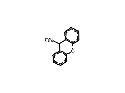 O=NC1c2ccccc2Oc2ccccc21